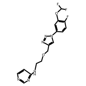 Fc1ccc(-n2cc(COCCNc3ccncn3)nn2)cc1OC(F)F